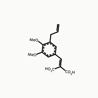 C=CCc1cc(C=C(C(=O)O)C(=O)O)cc(OC)c1OC